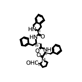 O=C[C@@H]1CCCN1C(=O)[C@H](Cc1ccccc1)NC(=O)C[C@H](Cc1ccccc1)NC(=O)[C@@H]1Cc2ccccc2CN1